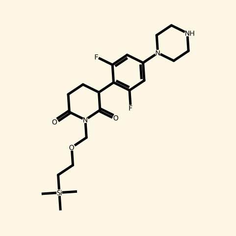 C[Si](C)(C)CCOCN1C(=O)CCC(c2c(F)cc(N3CCNCC3)cc2F)C1=O